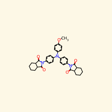 COc1ccc(N(c2ccc(N3C(=O)C4CCCCC4C3=O)cc2)c2ccc(N3C(=O)C4CCCCC4C3=O)cc2)cc1